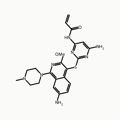 C=CC(=O)Nc1cc(N)nc(Sc2c(OC)nc(N3CCN(C)CC3)c3cc(N)ccc23)n1